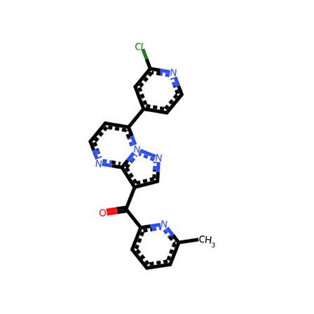 Cc1cccc(C(=O)c2cnn3c(-c4ccnc(Cl)c4)ccnc23)n1